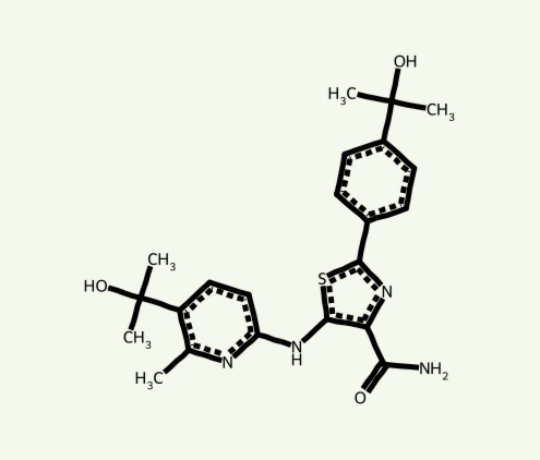 Cc1nc(Nc2sc(-c3ccc(C(C)(C)O)cc3)nc2C(N)=O)ccc1C(C)(C)O